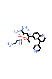 C=C/C(=C\C(=C(N)N)S(=O)(=O)NCCN)c1ccc2nccc(-c3ccncc3)c2c1